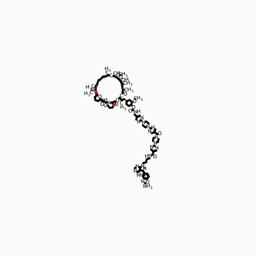 CO[C@H]1C[C@@H]2CCC[C@@](O)(O2)C(=O)C(=O)N2CCCC[C@H]2C(=O)O[C@H]([C@H](C)C[C@@H]2CC[C@@H](OC(=O)NCc3cnc(N4CCN(c5ncc(C(=O)N6CCN(c7ncc(C(=O)NCCCCn8nc(-c9ccc%10oc(N)nc%10c9)c9c(N)ncnc98)cn7)CC6)cn5)CC4)nc3)[C@H](OC)C2)CC(=O)[C@H](C)/C=C(\C)[C@@H](O)[C@@H](OC)C(=O)[C@H](C)C[C@H](C)/C=C/C=C/C=C/1C